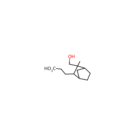 CC1(CO)C2CCC(C2)C1CCC(=O)O